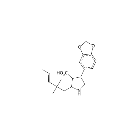 CC=CC(C)(C)CC1NCC(c2ccc3c(c2)OCO3)C1C(=O)O